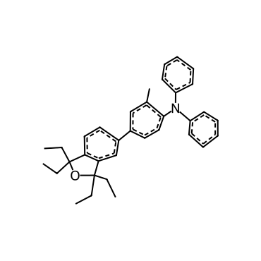 CCC1(CC)OC(CC)(CC)c2cc(-c3ccc(N(c4ccccc4)c4ccccc4)c(C)c3)ccc21